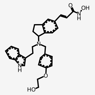 O=C(C=Cc1ccc2c(c1)CCC2N(CCc1c[nH]c2ccccc12)Cc1ccc(OCCO)cc1)NO